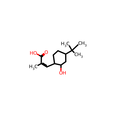 CC(=CC1CCC(C(C)(C)C)CC1O)C(=O)O